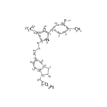 Cc1ccc(-c2nc(CCOc3ccc4c(c3)CCC4CC(=O)O)c(C)o2)cc1F